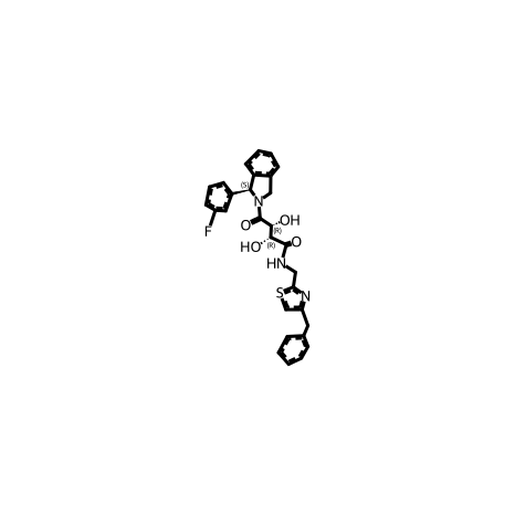 O=C(NCc1nc(Cc2ccccc2)cs1)[C@H](O)[C@@H](O)C(=O)N1Cc2ccccc2[C@@H]1c1cccc(F)c1